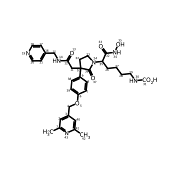 Cc1cc(COc2ccc(C3(CC(=O)NCc4ccncc4)CCN(C(CCCCNC(=O)O)C(=O)NO)C3=O)cc2)cc(C)n1